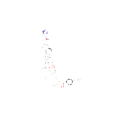 COc1ccc(C(=O)OC2C(OC3C(O)COC(O[C@H]4C[C@H]5[C@@H]6CC=C7C[C@@H](OC(=O)n8ccnc8)CC[C@]7(C)C6CC[C@]5(C)[C@@]4(O)[C@H](C)C(=O)CCC(C)C)C3O)OCC(O)C2O)cc1